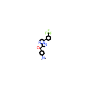 CN(C)c1ccc(C(=O)c2cnn3c(-c4cccc(C(F)(F)F)c4)ccnc23)cc1